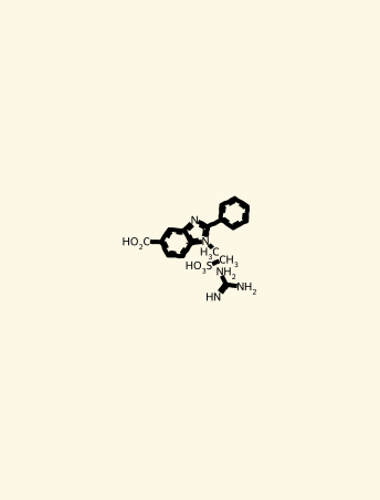 CS(=O)(=O)O.Cn1c(-c2ccccc2)nc2cc(C(=O)O)ccc21.N=C(N)N